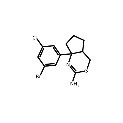 NC1=NC2(c3cc(Cl)cc(Br)c3)CCCC2CS1